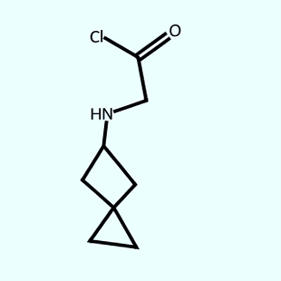 O=C(Cl)CNC1CC2(CC2)C1